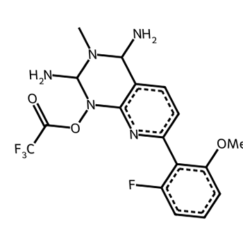 COc1cccc(F)c1-c1ccc2c(n1)N(OC(=O)C(F)(F)F)C(N)N(C)C2N